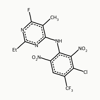 CCc1nc(F)c(C)c(Nc2c([N+](=O)[O-])cc(C(F)(F)F)c(Cl)c2[N+](=O)[O-])n1